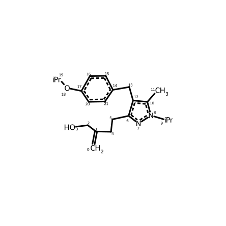 C=C(CO)CCc1nn(C(C)C)c(C)c1Cc1ccc(OC(C)C)cc1